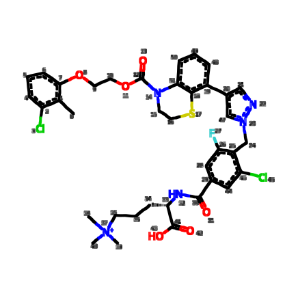 Cc1c(Cl)cccc1OCCOC(=O)N1CCSc2c(-c3cnn(Cc4c(F)cc(C(=O)N[C@@H](CCC[N+](C)(C)C)C(=O)O)cc4Cl)c3)cccc21